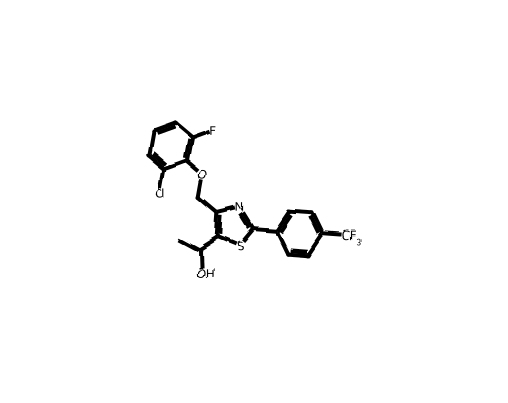 CC(O)c1sc(-c2ccc(C(F)(F)F)cc2)nc1COc1c(F)cccc1Cl